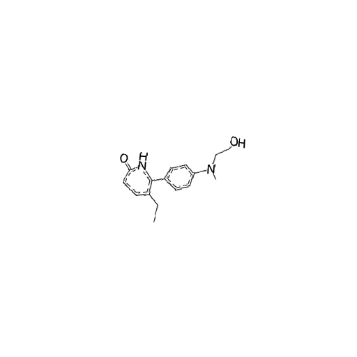 CCc1ccc(=O)[nH]c1-c1ccc(N(C)CCO)cc1